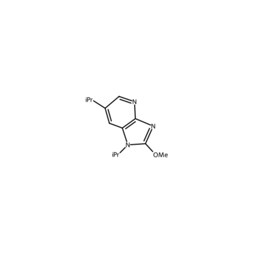 COc1nc2ncc(C(C)C)cc2n1C(C)C